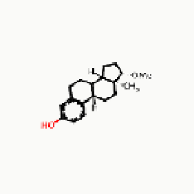 CO[C@H]1CC[C@H]2C3CCc4cc(O)ccc4[C@H]3CC[C@]12C